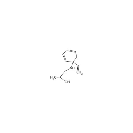 C=CC1(NCC(C)O)C=CC=CC1